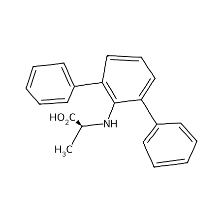 C[C@H](Nc1c(-c2ccccc2)cccc1-c1ccccc1)C(=O)O